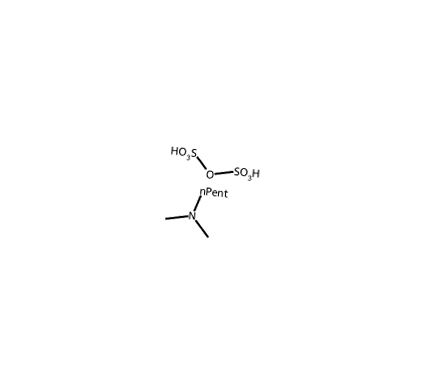 CCCCCN(C)C.O=S(=O)(O)OS(=O)(=O)O